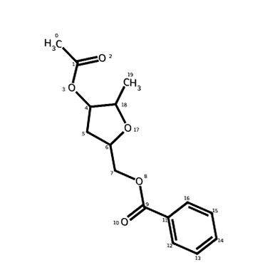 CC(=O)OC1CC(COC(=O)c2ccccc2)OC1C